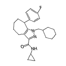 O=C(NC1CC1)c1nn(CC2CCCCC2)c2c1CCCCC2c1ccc(F)cc1